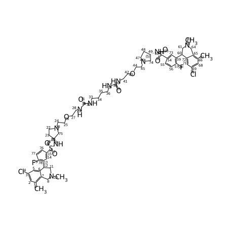 Cc1cc(Cl)cc2c1CN(C)CC2c1cc(S(=O)(=O)N[C@H]2CCN(CCOCCNC(=O)NCCCCNC(=O)NCCOCCN3CC[C@H](NS(=O)(=O)c4ccc(F)c(C5CN(C)Cc6c(C)cc(Cl)cc65)c4)C3)C2)ccc1F